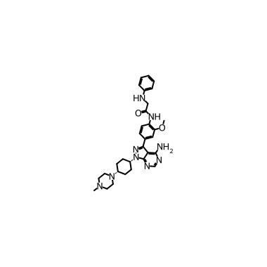 COc1cc(-c2nn([C@H]3CC[C@@H](N4CCN(C)CC4)CC3)c3ncnc(N)c23)ccc1NC(=O)CNc1ccccc1